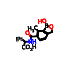 Cc1c(C(=O)NC(C(=O)O)C(C)C)ccc2c1B(O)OC2